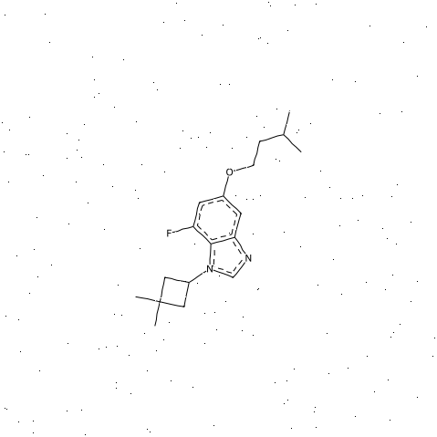 CC(C)CCOc1cc(F)c2c(c1)ncn2C1CC(C)(C)C1